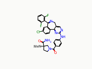 CNC1(C(N)=O)CCN(C(=O)c2ccc(Nc3ncc4c(n3)-c3ccc(Cl)cc3C(c3c(F)cccc3F)=NC4)cc2)C1